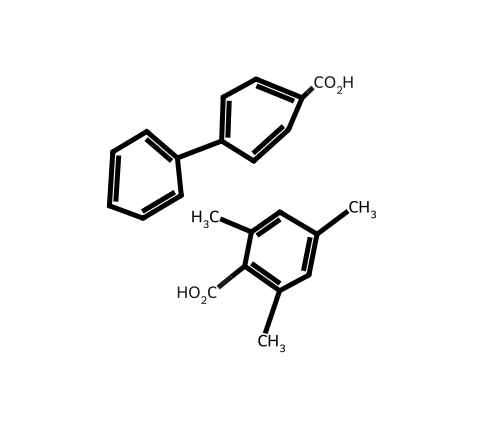 Cc1cc(C)c(C(=O)O)c(C)c1.O=C(O)c1ccc(-c2ccccc2)cc1